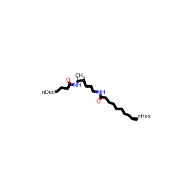 CCCCCC/C=C\CCCCCCCC(=O)NCCCC[C@@H](C)NC(=O)CCCCCCCCCCCCC